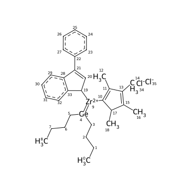 CCC[CH2][Ge]([CH2]CCC)=[Zr+2]([C]1=C(C)C(C)=C(C)C1C)[CH]1C=C(c2ccccc2)c2ccccc21.[Cl-].[Cl-]